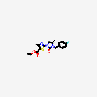 CCOC(=O)c1sc(N2C[C@@H](C)N(Cc3ccc(F)cc3)C2=O)nc1C